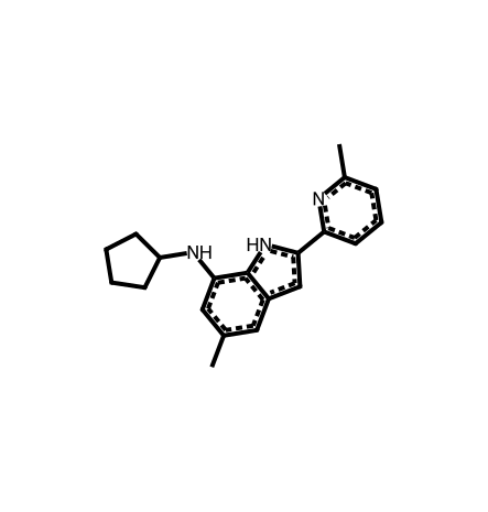 Cc1cc(NC2CCCC2)c2[nH]c(-c3cccc(C)n3)cc2c1